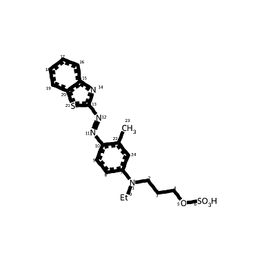 CCN(CCCOS(=O)(=O)O)c1ccc(N=Nc2nc3ccccc3s2)c(C)c1